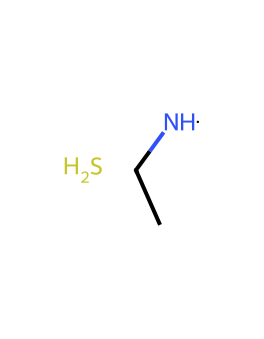 CC[NH].S